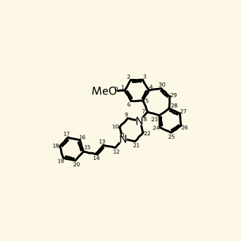 COc1ccc2c(c1)C(N1CCN(CC=Cc3ccccc3)CC1)c1ccccc1C=C2